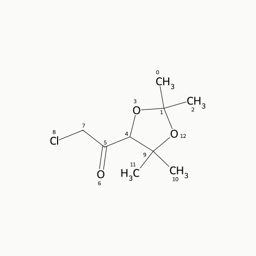 CC1(C)OC(C(=O)CCl)C(C)(C)O1